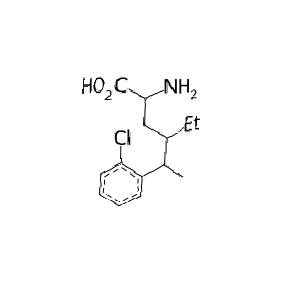 CCC(CC(N)C(=O)O)C(C)c1ccccc1Cl